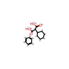 O=C(O)C(C(=O)O)C1CCCCC1.c1ccccc1